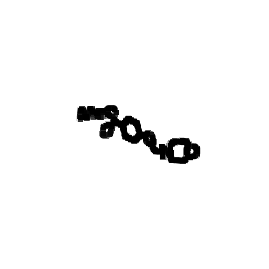 COC(=O)C1CCC(OCN2CCOCC2)CC1